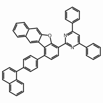 c1ccc(-c2cc(-c3ccccc3)nc(-c3ccc(-c4ccc(-c5cccc6ccccc56)cc4)c4c3oc3cc5ccccc5cc34)n2)cc1